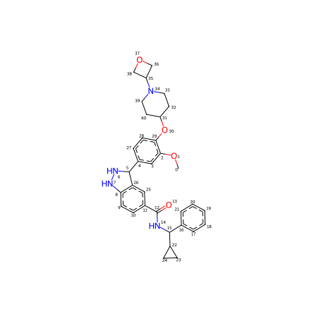 COc1cc(C2NNc3ccc(C(=O)NC(c4ccccc4)C4CC4)cc32)ccc1OC1CCN(C2COC2)CC1